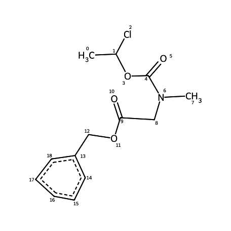 CC(Cl)OC(=O)N(C)CC(=O)OCc1ccccc1